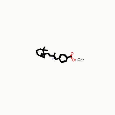 CCCCCCCCOC(=O)c1ccc(/C=C(\C)C=CC23CC2(C)CCCC3(C)C)cc1